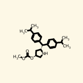 COC(=O)O[C@H]1CN[C@@H](C(c2ccc(C(C)C)cc2)c2ccc(C(C)C)cc2)C1